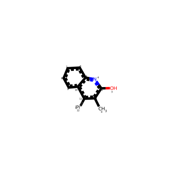 Cc1c(O)nc2ccccc2c1C(C)C